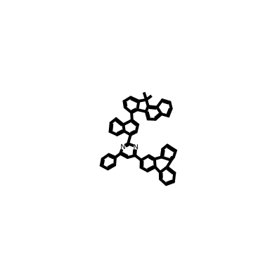 CC1(C)c2cccc(-c3ccc(-c4nc(-c5ccccc5)cc(-c5ccc6c7ccccc7c7ccccc7c6c5)n4)c4ccccc34)c2-c2ccc3ccccc3c21